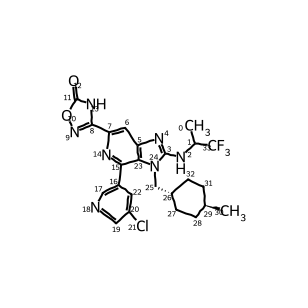 CC(Nc1nc2cc(-c3noc(=O)[nH]3)nc(-c3cncc(Cl)c3)c2n1C[C@H]1CC[C@H](C)CC1)C(F)(F)F